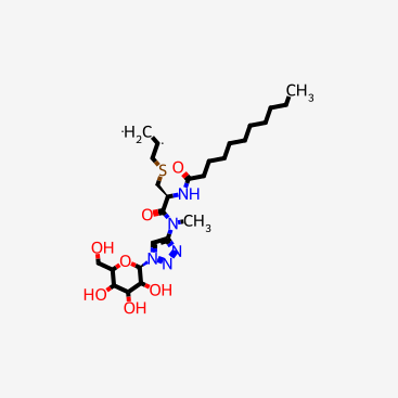 [CH2][CH]CSC[C@@H](NC(=O)CCCCCCCCCC)C(=O)N(C)c1cn([C@@H]2OC(CO)C(O)C(O)C2O)nn1